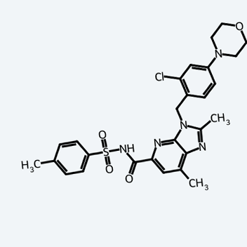 Cc1ccc(S(=O)(=O)NC(=O)c2cc(C)c3nc(C)n(Cc4ccc(N5CCOCC5)cc4Cl)c3n2)cc1